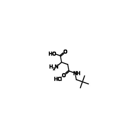 CC(C)(C)CNC(=O)CC(N)C(=O)O.Cl